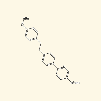 CCCCCc1ccc(-c2ccc(CCc3ccc(OCCCC)cc3)cc2)nc1